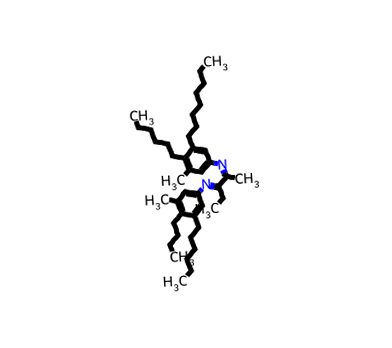 CCCCCCCCc1cc(N=C(C)C(CC)=Nc2cc(C)c(CCCC)c(CCCCCC)c2)cc(C)c1CCCCCC